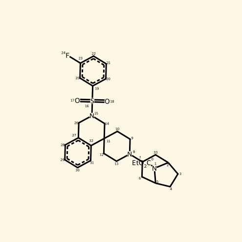 CCOC(=O)N1C2CCC1CC(N1CCC3(CC1)CN(S(=O)(=O)c1cccc(F)c1)Cc1ccccc13)C2